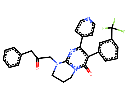 O=C(Cc1ccccc1)CN1CCCn2c1nc(-c1ccncc1)c(-c1cccc(C(F)(F)F)c1)c2=O